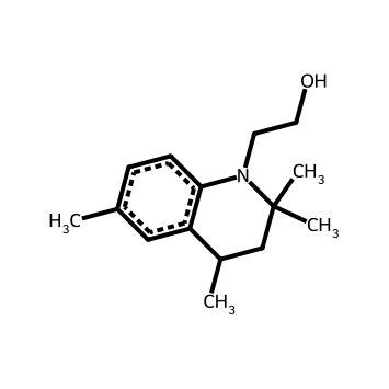 Cc1ccc2c(c1)C(C)CC(C)(C)N2CCO